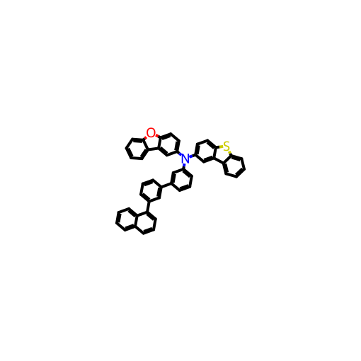 c1cc(-c2cccc(N(c3ccc4oc5ccccc5c4c3)c3ccc4sc5ccccc5c4c3)c2)cc(-c2cccc3ccccc23)c1